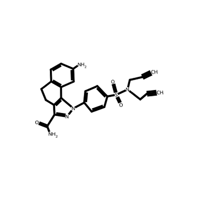 C#CCN(CC#C)S(=O)(=O)c1ccc(-n2nc(C(N)=O)c3c2-c2cc(N)ccc2CC3)cc1